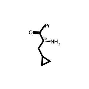 CC(C)C(=O)[C@@H](N)CC1CC1